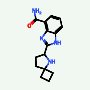 NC(=O)c1cccc2[nH]c(C3CCC4(CCC4)N3)nc12